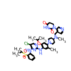 Cc1cc(Nc2ncc(Cl)c(Nc3ccccc3S(=O)(=O)C(C)C)n2)c(OC(C)C)cc1N1CCC(N(C)Cc2ccncc2N2CCC(=O)NC2=O)CC1